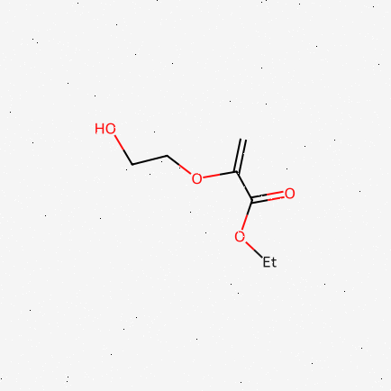 C=C(OCCO)C(=O)OCC